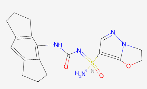 N[S@](=O)(=NC(=O)Nc1c2c(cc3c1CCC3)CCC2)c1cnn2c1OCC2